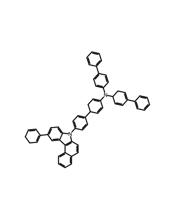 C1=CC(c2ccc3c(c2)c2c4ccccc4ccc2n3-c2ccc(C3C=CC(N(c4ccc(-c5ccccc5)cc4)C4C=CC(c5ccccc5)=CC4)=CC3)cc2)=CCC1